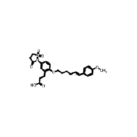 COc1ccc(/C=C/CCCCOc2ccc(N3C(=O)CCS3(=O)=O)cc2CCC(=O)O)cc1